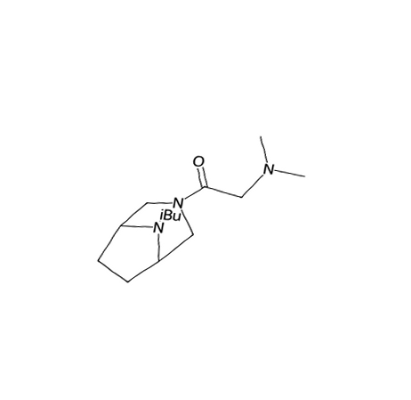 CCC(C)N1C2CCC1CN(C(=O)CN(C)C)C2